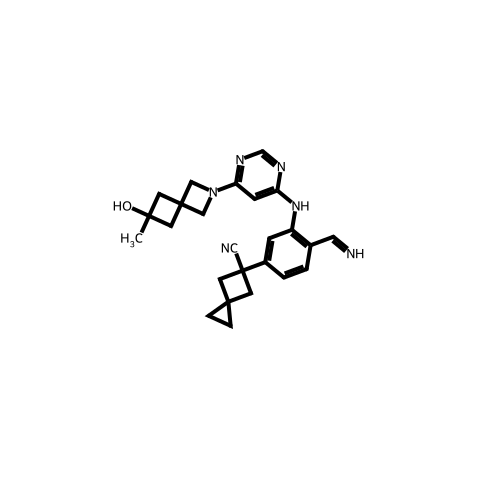 CC1(O)CC2(CN(c3cc(Nc4cc(C5(C#N)CC6(CC6)C5)ccc4C=N)ncn3)C2)C1